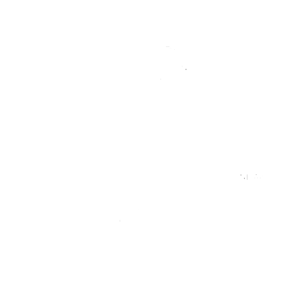 CC(=O)NCCc1ccc(OCc2ccccc2)cc1-c1ccc(O[Si](C)(C)C(C)(C)C)cc1